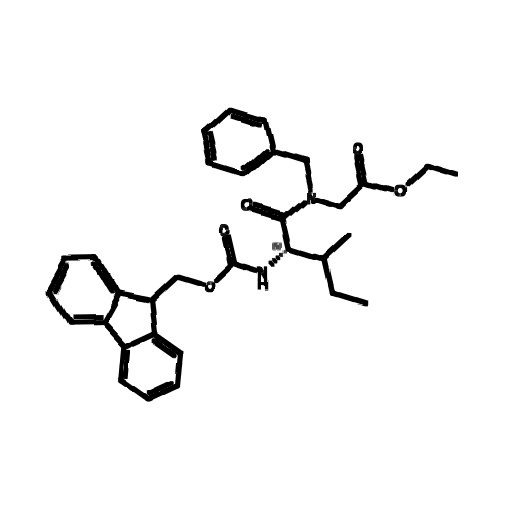 CCOC(=O)CN(Cc1ccccc1)C(=O)[C@@H](NC(=O)OCC1c2ccccc2-c2ccccc21)C(C)CC